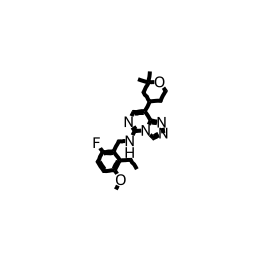 CCc1c(OC)ccc(F)c1CNc1ncc(C2CCOC(C)(C)C2)c2nncn12